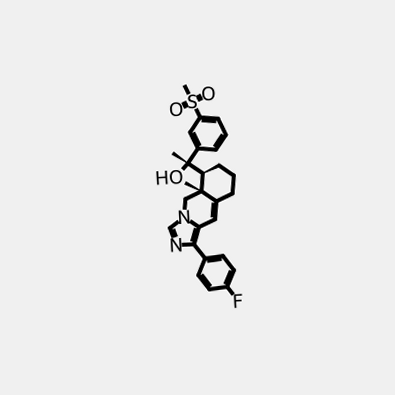 C[C@]12Cn3cnc(-c4ccc(F)cc4)c3C=C1CCC[C@@H]2[C@](C)(O)c1cccc(S(C)(=O)=O)c1